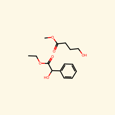 CCOC(=O)C(O)c1ccccc1.COC(=O)CCCO